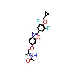 CC(=O)N[C@@H](C)COc1ccc2nc(-c3cc(F)c(OCC4CC4)c(F)c3)oc2c1